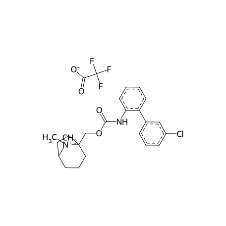 C[N+]1(C)C2CCCC1(COC(=O)Nc1ccccc1-c1cccc(Cl)c1)CC2.O=C([O-])C(F)(F)F